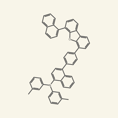 Cc1cccc(N(c2cccc(C)c2)c2ccc(-c3ccc(-c4cccc5c4oc4c(-c6cccc7ccccc67)cccc45)cc3)c3ccccc23)c1